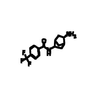 NC1CC2CC1CC2NC(=O)c1ccc(C(F)(F)F)cc1